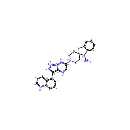 N[C@@H]1c2ccccc2CC12CCN(c1cnc3c(-c4cccc5ncccc45)n[nH]c3n1)CC2